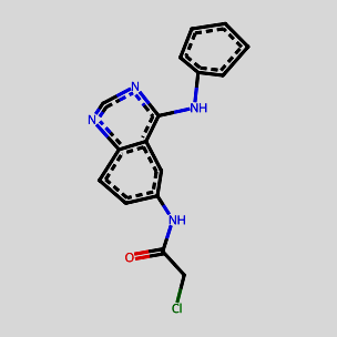 O=C(CCl)Nc1ccc2ncnc(Nc3ccccc3)c2c1